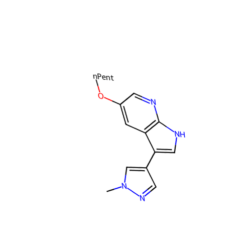 CCCCCOc1cnc2[nH]cc(-c3cnn(C)c3)c2c1